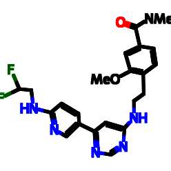 CNC(=O)c1ccc(CCNc2cc(-c3ccc(NCC(F)F)nc3)ncn2)c(OC)c1